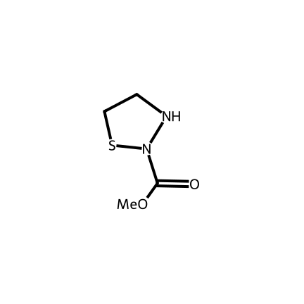 COC(=O)N1NCCS1